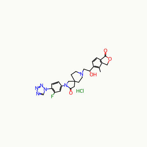 Cc1c([C@@H](O)CN2CCC3(CC2)CC(=O)N(c2ccc(-n4cnnn4)c(F)c2)C3)ccc2c1COC2=O.Cl